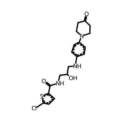 O=C1CCN(c2ccc(NCC(O)CNC(=O)c3ccc(Cl)s3)cc2)CC1